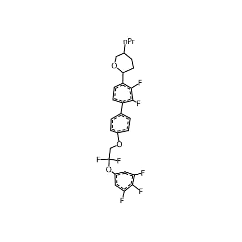 CCCC1CCC(c2ccc(-c3ccc(OCC(F)(F)Oc4cc(F)c(F)c(F)c4)cc3)c(F)c2F)OC1